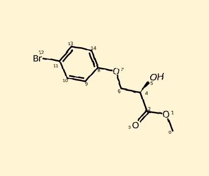 COC(=O)[C@H](O)COc1ccc(Br)cc1